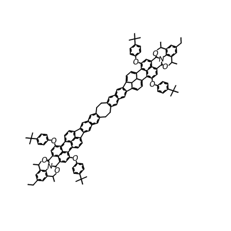 CCc1cc(C(C)C)c(N2C(=O)c3cc(Oc4ccc(C(C)(C)C)cc4)c4c5c(c(Oc6ccc(C(C)(C)C)cc6)cc(c35)C2=O)C2=CC=C3c5cc6cc7c(cc6cc5C5=CC=C4C2C53)CCc2cc3cc4c(cc3cc2CC7)-c2ccc3c5c(Oc6ccc(C(C)(C)C)cc6)cc6c7c(cc(Oc8ccc(C(C)(C)C)cc8)c(c8ccc-4c2c83)c75)C(=O)N(c2c(C(C)C)cc(CC)cc2C(C)C)C6=O)c(C(C)C)c1